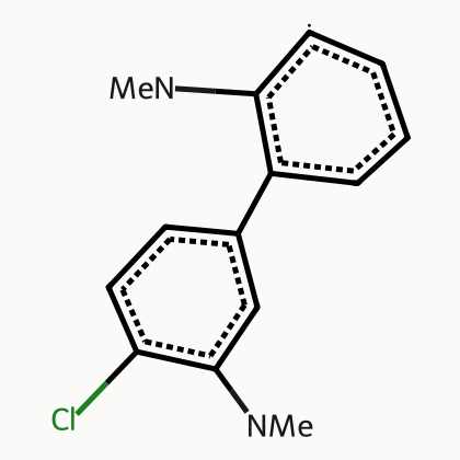 CNc1[c]cccc1-c1ccc(Cl)c(NC)c1